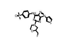 CP(C)(=O)c1ccc(Nc2nc(N3CCOC(CF)C3)nc3c2ncn3-c2ccsc2)cc1